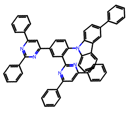 c1ccc(-c2ccc3c(c2)c2ccccc2n3-c2ccc(-c3cc(-c4ccccc4)nc(-c4ccccc4)n3)cc2-c2nc(-c3ccccc3)cc(-c3ccccc3)n2)cc1